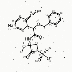 COC1(NC(=O)C(OCc2ccccc2)C2C=CC=CC2=C=O)CN(S(=O)(=O)[O-])C1=O.[Na+]